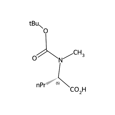 CCC[C@@H](C(=O)O)N(C)C(=O)OC(C)(C)C